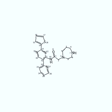 O=C(CN1CCCNCC1)Nc1nc(-c2cccs2)ncc1-c1ccccn1